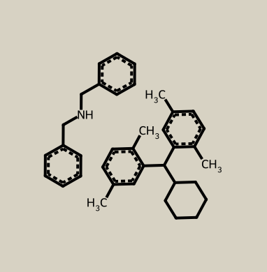 Cc1ccc(C)c(C(c2cc(C)ccc2C)C2CCCCC2)c1.c1ccc(CNCc2ccccc2)cc1